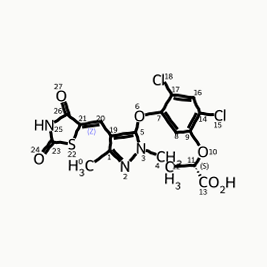 Cc1nn(C)c(Oc2cc(O[C@@H](C)C(=O)O)c(Cl)cc2Cl)c1/C=C1\SC(=O)NC1=O